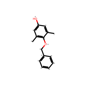 Cc1cc(O)cc(C)c1OCc1ccccc1